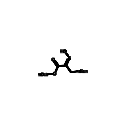 CCCCCCCCCCC(=NO)C(=O)OCCCCCCCC